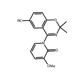 COc1cccn(C2=NC(C)(C)Oc3ccc(C#N)cc32)c1=O